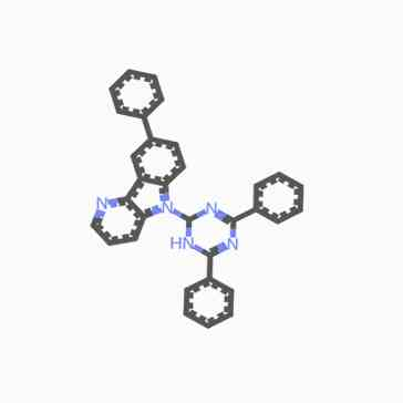 c1ccc(C2=NC(n3c4ccc(-c5ccccc5)cc4c4ncccc43)NC(c3ccccc3)=N2)cc1